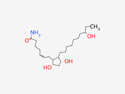 CCC(O)CCCCCCCC1C(C/C=C\CCCC(N)=O)[C@@H](O)C[C@H]1O